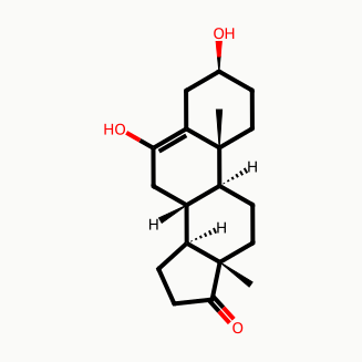 C[C@]12CC[C@H](O)CC1=C(O)C[C@@H]1[C@@H]2CC[C@]2(C)C(=O)CC[C@@H]12